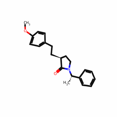 COc1ccc(CC[C@H]2CCN([C@@H](C)c3ccccc3)C2=O)cc1